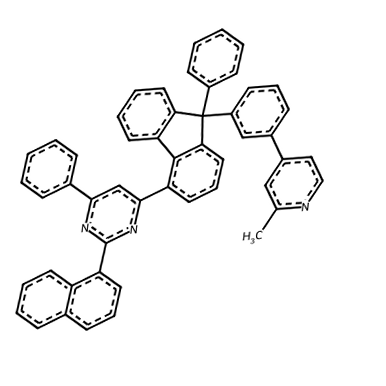 Cc1cc(-c2cccc(C3(c4ccccc4)c4ccccc4-c4c(-c5cc(-c6ccccc6)nc(-c6cccc7ccccc67)n5)cccc43)c2)ccn1